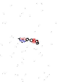 CC(C)CN1CCN(Cc2cc(C3CCC4(CC3)OOC3(OO4)C4CC5CC(C4)CC3C5)ccc2O)CC1